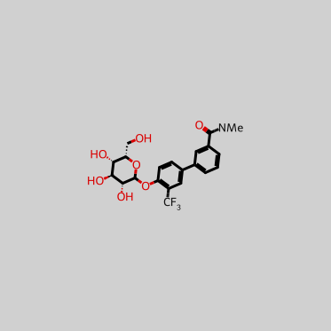 CNC(=O)c1cccc(-c2ccc(OC3O[C@@H](CO)[C@@H](O)[C@H](O)[C@H]3O)c(C(F)(F)F)c2)c1